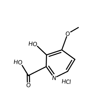 COc1ccnc(C(=O)O)c1O.Cl